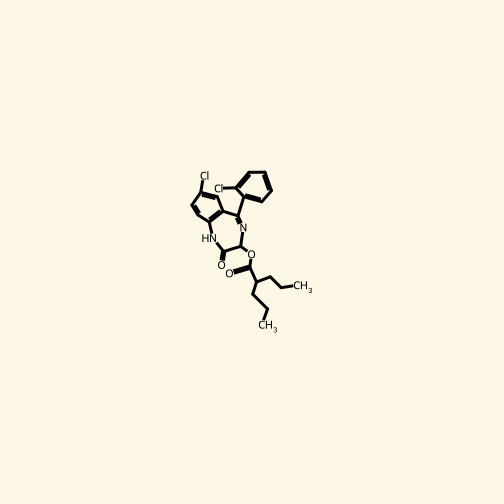 CCCC(CCC)C(=O)OC1N=C(c2ccccc2Cl)c2cc(Cl)ccc2NC1=O